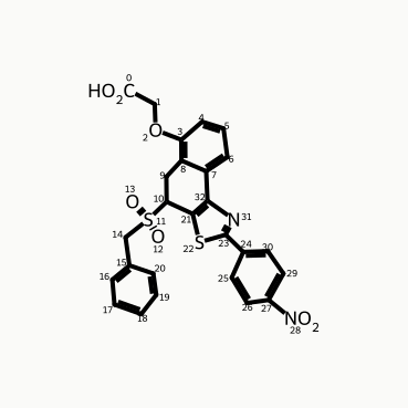 O=C(O)COc1cccc2c1CC(S(=O)(=O)Cc1ccccc1)c1sc(-c3ccc([N+](=O)[O-])cc3)nc1-2